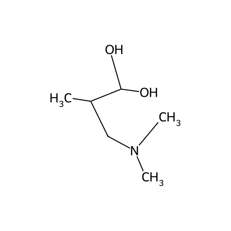 CC(CN(C)C)C(O)O